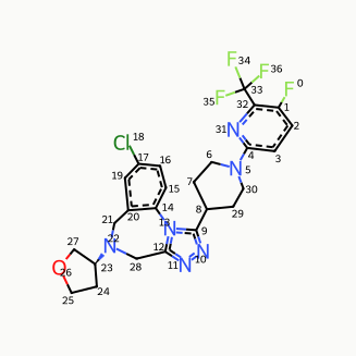 Fc1ccc(N2CCC(c3nnc4n3-c3ccc(Cl)cc3CN([C@H]3CCOC3)C4)CC2)nc1C(F)(F)F